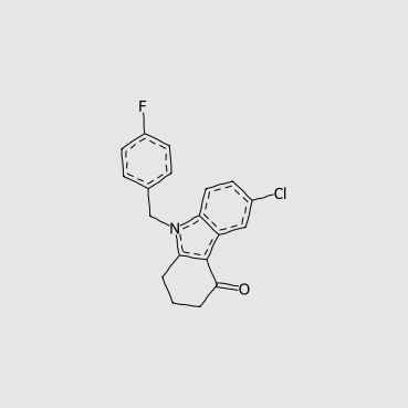 O=C1CCCc2c1c1cc(Cl)ccc1n2Cc1ccc(F)cc1